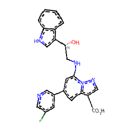 O=C(O)c1cnn2c(NC[C@@H](O)c3c[nH]c4ccccc34)cc(-c3cncc(F)c3)cc12